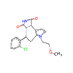 COCCn1ccc2c1CC(c1ccccc1Cl)C1C(=O)NC(=O)C21